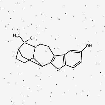 CC1(C)C2CCC3C(C2)c2oc4ccc(O)cc4c2CCN31